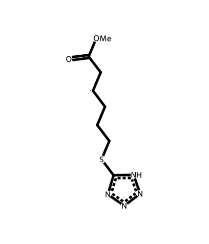 COC(=O)C[CH]CCCSc1nnn[nH]1